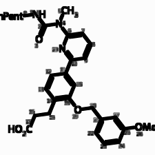 CCCCCNC(=O)N(C)c1cccc(-c2ccc(CCC(=O)O)c(OCc3cccc(OC)c3)c2)n1